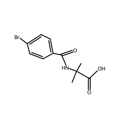 CC(C)(NC(=O)c1ccc(Br)cc1)C(=O)O